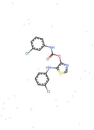 O=C(Nc1cccc(Cl)c1)Oc1ncsc1Nc1cccc(Cl)c1